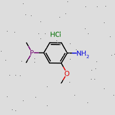 COc1cc(P(C)C)ccc1N.Cl